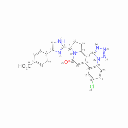 O=C(O)c1ccc(-c2c[nH]c([C@@H]3CCc4cc(-c5cc(Cl)ccc5-n5cnnn5)cc(=O)n43)n2)cc1